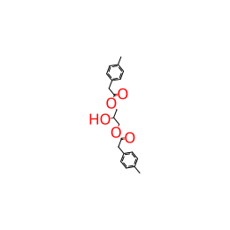 Cc1ccc(CC(=O)OCC(O)COC(=O)Cc2ccc(C)cc2)cc1